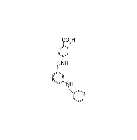 O=C(O)c1ccc(NCc2cccc(NCc3ccccc3)c2)cc1